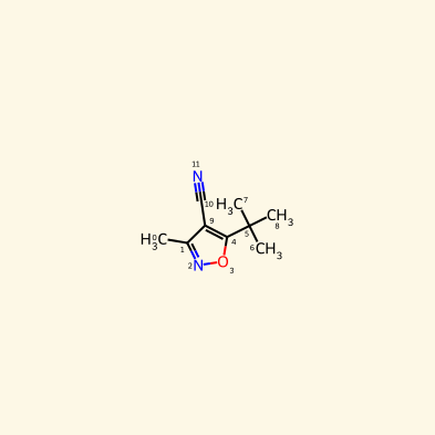 Cc1noc(C(C)(C)C)c1C#N